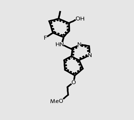 COCCOc1ccc2c(Nc3cc(O)c(C)cc3F)ncnc2c1